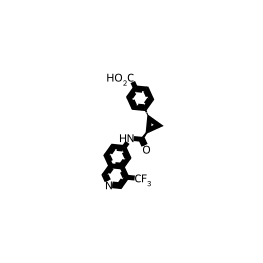 O=C(O)c1ccc([C@@H]2C[C@H]2C(=O)Nc2ccc3cncc(C(F)(F)F)c3c2)cc1